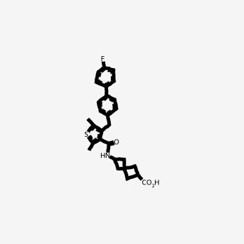 Cc1sc(C)c(C(=O)NC2CC3(C2)CC(C(=O)O)C3)c1Cc1ccc(-c2ccc(F)cc2)cc1